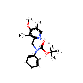 COc1c(C)cnc(CN(C(=O)OC(C)(C)C)C2=CCCC=C2)c1C